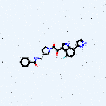 O=C(NC[C@@H]1CCN(C(=O)C(=O)c2c[nH]c3c(-c4cc[nH]n4)ccc(F)c23)C1)c1ccccc1